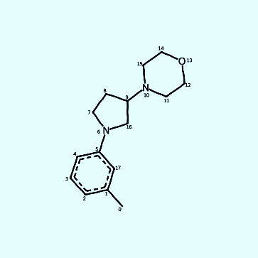 Cc1cccc(N2CCC(N3CCOCC3)C2)c1